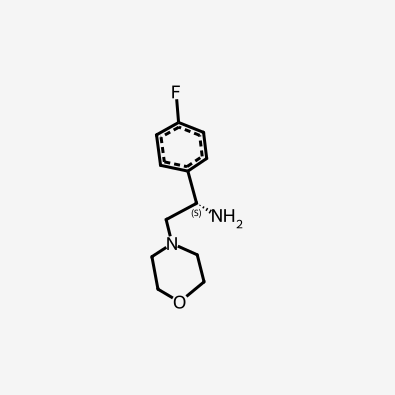 N[C@H](CN1CCOCC1)c1ccc(F)cc1